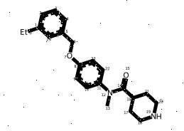 CCc1cccc(COc2ccc(N(C)C(=O)C3CCNCC3)cc2)c1